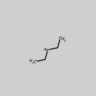 CC[As]CC